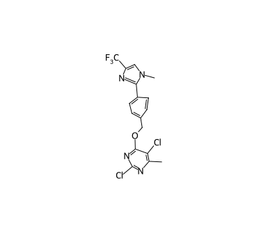 Cc1nc(Cl)nc(OCc2ccc(-c3nc(C(F)(F)F)cn3C)cc2)c1Cl